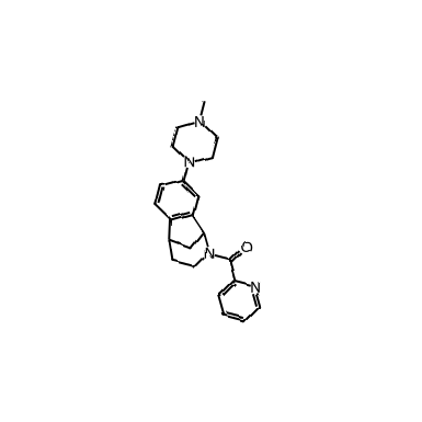 CN1CCN(c2ccc3c(c2)C2CC3CCN2C(=O)c2ccccn2)CC1